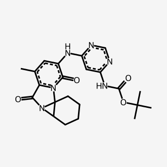 Cc1cc(Nc2cc(NC(=O)OC(C)(C)C)ncn2)c(=O)n2c1C(=O)N1C3CCCCC312